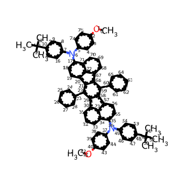 COc1ccc(N(c2ccc(C(C)(C)C)cc2)c2ccc3c4c(-c5ccccc5)c5c6cccc7c(N(c8ccc(OC)cc8)c8ccc(C(C)(C)C)cc8)ccc(c5c(-c5ccccc5)c4c4cccc2c43)c76)cc1